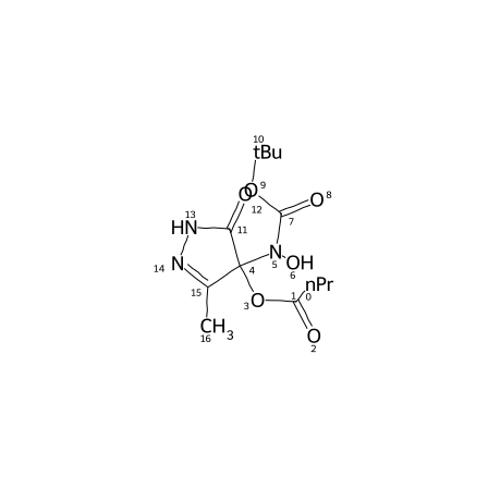 CCCC(=O)OC1(N(O)C(=O)OC(C)(C)C)C(=O)NN=C1C